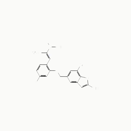 CCCc1ccc(/C=C(\SC)[S+](C)[O-])c(OCc2cc(Br)c3oc(C)cc3c2)c1